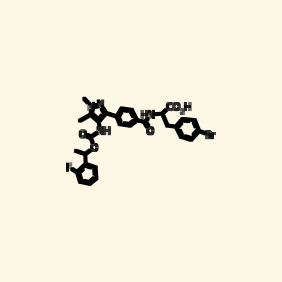 Cc1c(NC(=O)OC(C)c2ccccc2F)c(-c2ccc(C(=O)NC(Cc3ccc(Br)cc3)C(=O)O)cc2)nn1C